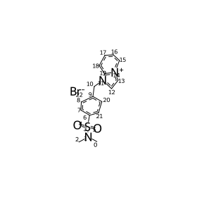 CN(C)S(=O)(=O)c1ccc(Cn2cc[n+]3ccccc23)cc1.[Br-]